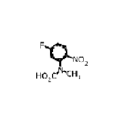 CN(C(=O)O)c1cc(F)ccc1[N+](=O)[O-]